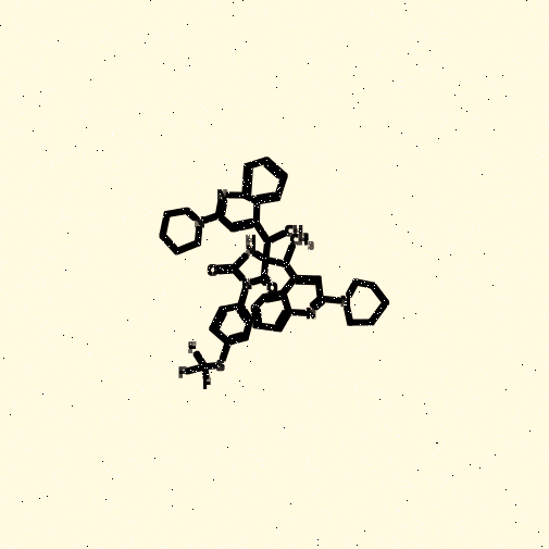 CC(c1cc(N2CCCCC2)nc2ccccc12)C1(C(C)c2cc(N3CCCCC3)nc3ccccc23)NC(=O)N(c2ccc(SC(F)(F)F)cc2)C1=O